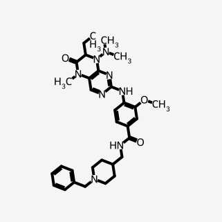 CCC1C(=O)N(C)c2cnc(Nc3ccc(C(=O)NCC4CCN(Cc5ccccc5)CC4)cc3OC)nc2N1N(C)C